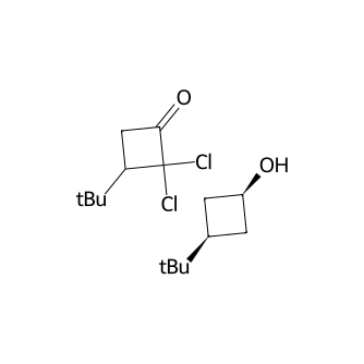 CC(C)(C)C1CC(=O)C1(Cl)Cl.CC(C)(C)[C@H]1C[C@@H](O)C1